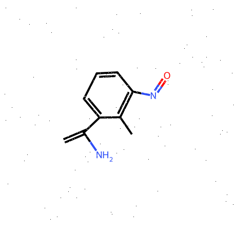 C=C(N)c1cccc(N=O)c1C